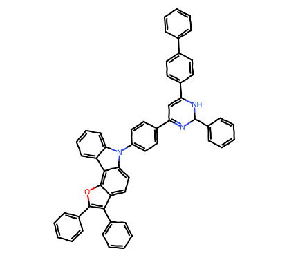 C1=C(c2ccc(-c3ccccc3)cc2)NC(c2ccccc2)N=C1c1ccc(-n2c3ccccc3c3c4oc(-c5ccccc5)c(-c5ccccc5)c4ccc32)cc1